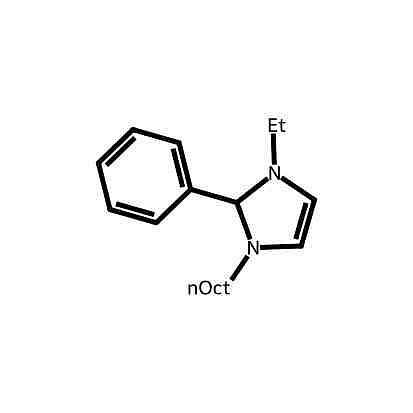 CCCCCCCCN1C=CN(CC)C1c1ccccc1